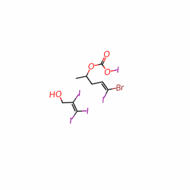 CC(CC=C(Br)I)OC(=O)OI.OCC(I)=C(I)I